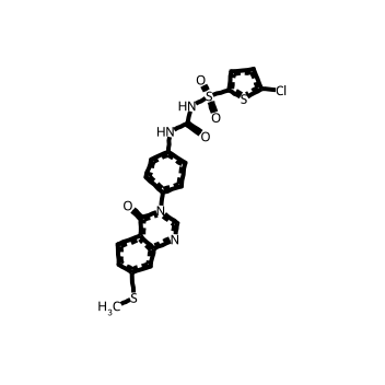 CSc1ccc2c(=O)n(-c3ccc(NC(=O)NS(=O)(=O)c4ccc(Cl)s4)cc3)cnc2c1